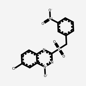 O=[N+]([O-])c1cccc(CS(=O)(=O)c2nc3ccc(Cl)cc3[n+]([O-])n2)c1